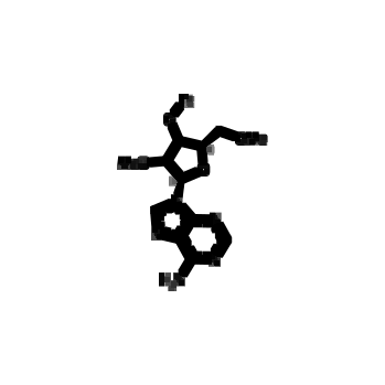 CCOC1C(OC)[C@H](n2cnc3c(N)ncnc32)O[C@@H]1COC